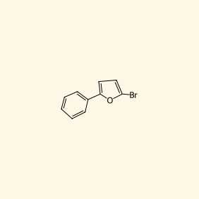 Brc1ccc(-c2ccccc2)o1